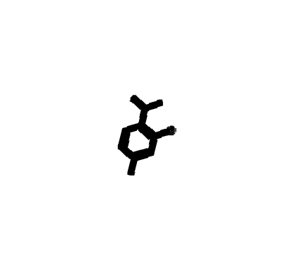 Cc1ccc(C(C)C)c([O])c1